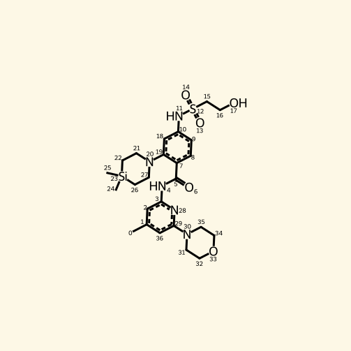 Cc1cc(NC(=O)c2ccc(NS(=O)(=O)CCO)cc2N2CC[Si](C)(C)CC2)nc(N2CCOCC2)c1